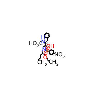 C=CCCC(COCC=C)CN(C[C@@H](O)[C@H](Cc1ccccc1)NC(=O)O)S(=O)(=O)c1ccc([N+](=O)[O-])cc1